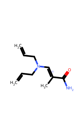 C=CCN(/C=C(\C)C(N)=O)CC=C